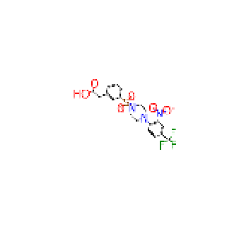 O=C(O)Cc1cccc(S(=O)(=O)N2CCN(c3ccc(C(F)(F)F)cc3[N+](=O)[O-])CC2)c1